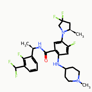 C[C@@H]1CC(F)(F)CN1c1cc(C(=O)N[C@H](C)c2cccc(C(F)F)c2F)c(NC2CCN(C)CC2)cc1F